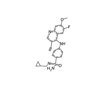 C#Cc1cnc2cc(OC)c(F)cc2c1Nc1ccc(S(N)(=O)=NCC2CC2)cc1